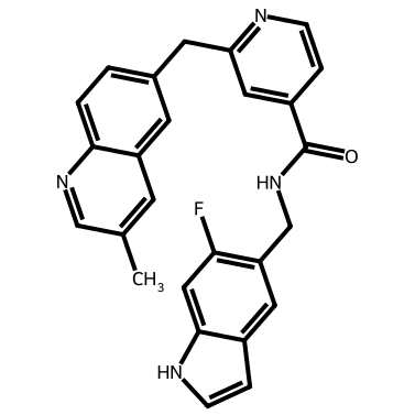 Cc1cnc2ccc(Cc3cc(C(=O)NCc4cc5cc[nH]c5cc4F)ccn3)cc2c1